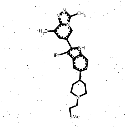 CSCCN1CCC(c2ccc3[nH]c(-c4cc(C)c5nnc(C)n5c4)c(C(C)C)c3c2)CC1